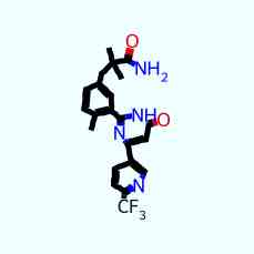 Cc1ccc(CC(C)(C)C(N)=O)cc1-c1nc(-c2ccc(C(F)(F)F)nc2)cc(=O)[nH]1